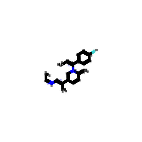 C=C1C=CC(/C(C)=C/N=C\C)=CN1/C(=C\C)c1ccc(F)cc1